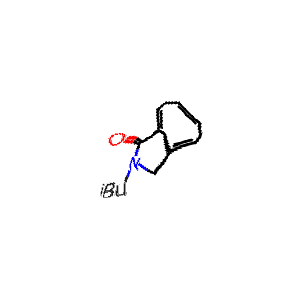 CCC(C)N1Cc2ccccc2C1=O